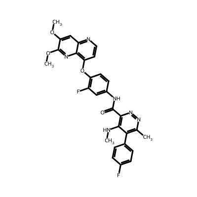 CNc1c(C(=O)Nc2ccc(Oc3ccnc4cc(OC)c(OC)nc34)c(F)c2)nnc(C)c1-c1ccc(F)cc1